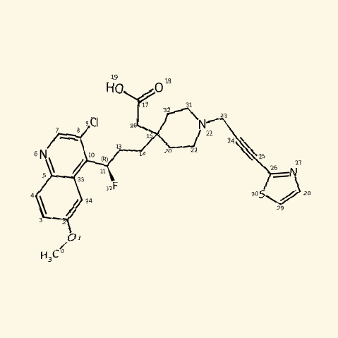 COc1ccc2ncc(Cl)c([C@H](F)CCC3(CC(=O)O)CCN(CC#Cc4nccs4)CC3)c2c1